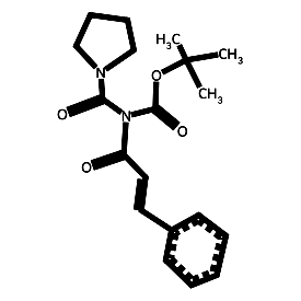 CC(C)(C)OC(=O)N(C(=O)/C=C/c1ccccc1)C(=O)N1CCCC1